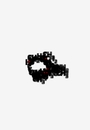 C=C1C[C@@H]2CCCC[C@@]34CC5(C)O[C@H]6C(O3)[C@H]3OC(CC[C@@H]3O[C@H]6C5O4)CC(=O)C[C@H]3[C@H](C[C@H]4O[C@@H](CCC1O2)C[C@@H](C)C4=C)OC(C[C@@H](CN)O[Si](C)(C)C(C)(C)C)[C@@H]3OC